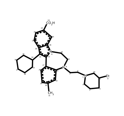 CCC1CCCN(CCN2CCn3c(c(C4CCCCC4)c4ccc(C(=O)O)cc43)-c3ccc(C)cc32)C1